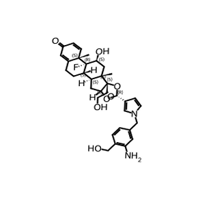 C[C@]12C=CC(=O)C=C1CC[C@H]1[C@@H]3C[C@H]4O[C@@H](c5ccn(Cc6ccc(CO)c(N)c6)c5)O[C@@]4(C(=O)CO)[C@@]3(C)C[C@H](O)[C@@]12F